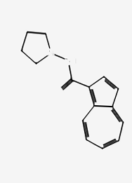 O=C(NN1CCCC1)c1ccc2cccccc1-2